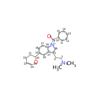 CN(C)CCc1cn(C(=O)c2ccccc2)c2ccc(C3CCC=CO3)cc12